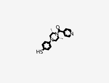 C[C@@H]1CN(c2ccc(S)cc2)C[C@H](C)N1C(=O)c1ccncc1